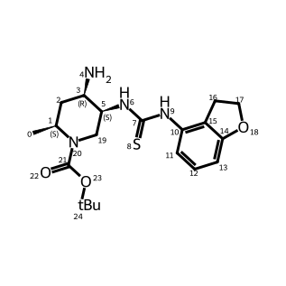 C[C@H]1C[C@@H](N)[C@@H](NC(=S)Nc2cccc3c2CCO3)CN1C(=O)OC(C)(C)C